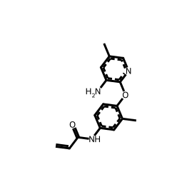 C=CC(=O)Nc1ccc(Oc2ncc(C)cc2N)c(C)c1